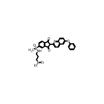 C=S(=O)(NCCCN(CC)CC)c1ccc2c(c1)C(=O)C(c1ccc3cc(Oc4ccccc4)ccc3n1)C2=O